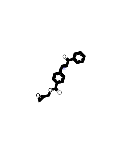 O=C(/C=C/c1ccc(C(=O)OCC2CO2)cc1)c1ccccc1